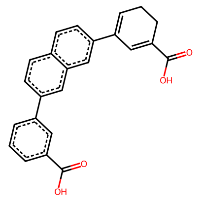 O=C(O)C1=CC(c2ccc3ccc(-c4cccc(C(=O)O)c4)cc3c2)=CCC1